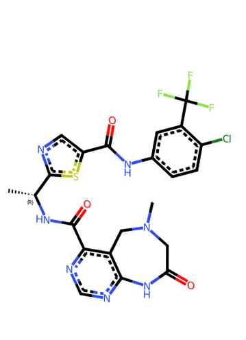 C[C@@H](NC(=O)c1ncnc2c1CN(C)CC(=O)N2)c1ncc(C(=O)Nc2ccc(Cl)c(C(F)(F)F)c2)s1